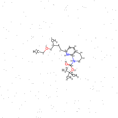 CCOCC(C)CCc1ccc2c(n1)N(C(=O)OC(C)(C)C)CCC2